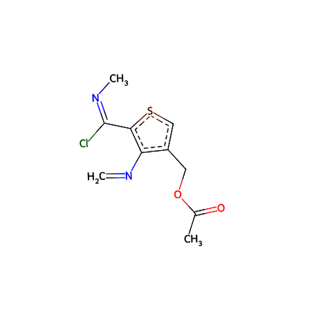 C=Nc1c(COC(C)=O)csc1/C(Cl)=N\C